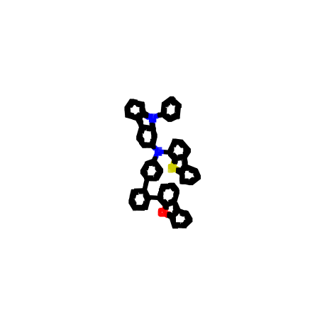 c1ccc(-n2c3ccccc3c3ccc(N(c4ccc(-c5ccccc5-c5cccc6c5oc5ccccc56)cc4)c4cccc5c4sc4ccccc45)cc32)cc1